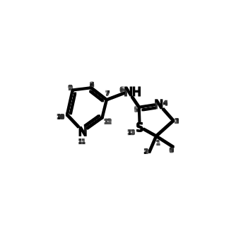 CC1(C)CN=C(Nc2cccnc2)S1